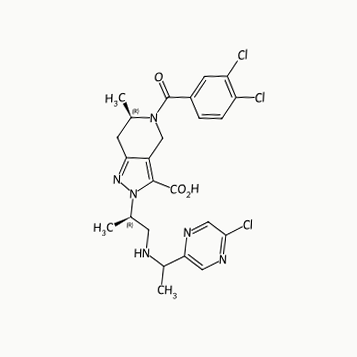 CC(NC[C@@H](C)n1nc2c(c1C(=O)O)CN(C(=O)c1ccc(Cl)c(Cl)c1)[C@H](C)C2)c1cnc(Cl)cn1